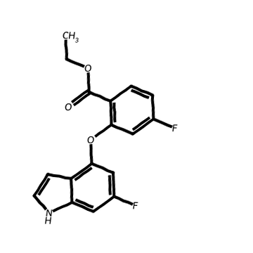 CCOC(=O)c1ccc(F)cc1Oc1cc(F)cc2[nH]ccc12